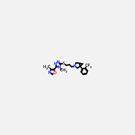 Cc1ncoc1-c1nnc(SCCCN2CC3CC3(c3ccccc3C(F)(F)F)C2)n1C